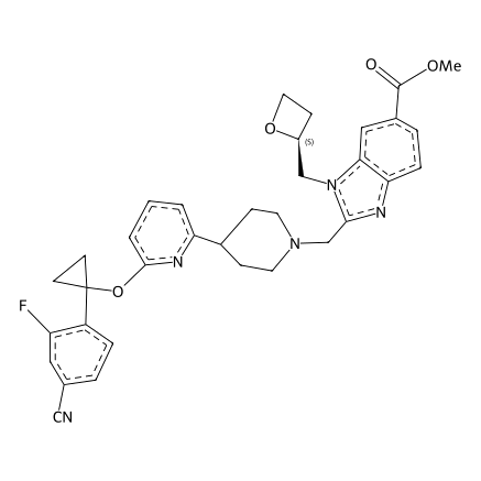 COC(=O)c1ccc2nc(CN3CCC(c4cccc(OC5(c6ccc(C#N)cc6F)CC5)n4)CC3)n(C[C@@H]3CCO3)c2c1